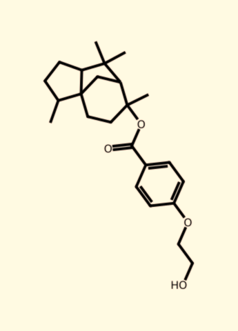 CC1CCC2C(C)(C)C3CC12CCC3(C)OC(=O)c1ccc(OCCO)cc1